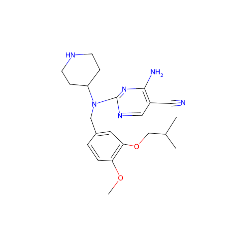 COc1ccc(CN(c2ncc(C#N)c(N)n2)C2CCNCC2)cc1OCC(C)C